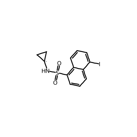 O=S(=O)(N[C]1CC1)c1cccc2c(I)cccc12